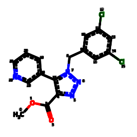 COC(=O)c1nnn(Cc2cc(Cl)cc(Cl)c2)c1-c1cccnc1